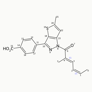 C/C=C\C=C(/C)C(=O)n1nc(-c2ccc(C(=O)O)cc2)c2sc(C)cc21